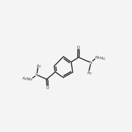 CC(=O)NN(C(C)=O)C(=O)c1ccc(C(=O)N(NC(C)=O)C(C)=O)cc1